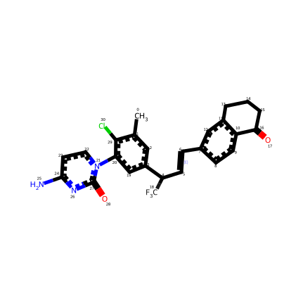 Cc1cc(C(/C=C/c2ccc3c(c2)CCCC3=O)C(F)(F)F)cc(-n2ccc(N)nc2=O)c1Cl